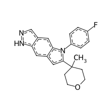 CC1(c2cc3cc4[nH]ncc4cc3n2-c2ccc(F)cc2)CCOCC1